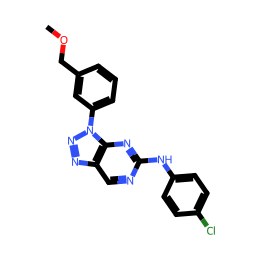 COCc1cccc(-n2nnc3cnc(Nc4ccc(Cl)cc4)nc32)c1